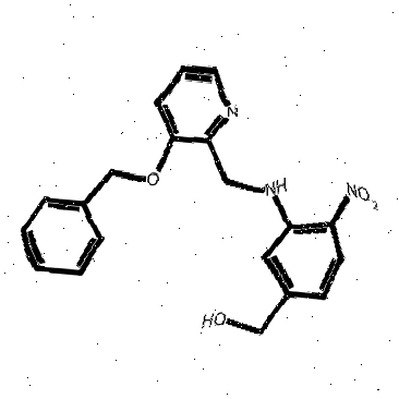 O=[N+]([O-])c1ccc(CO)cc1NCc1ncccc1OCc1ccccc1